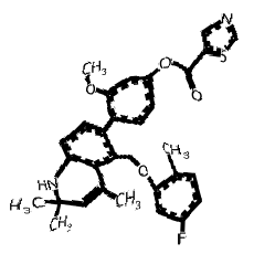 COc1cc(OC(=O)c2cncs2)ccc1-c1ccc2c(c1COc1cc(F)ccc1C)C(C)=CC(C)(C)N2